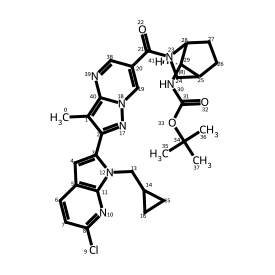 Cc1c(-c2cc3ccc(Cl)nc3n2CC2CC2)nn2cc(C(=O)N3CC4CCC3[C@@H]4NC(=O)OC(C)(C)C)cnc12